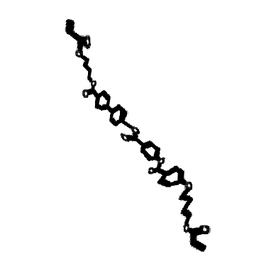 C=CC(=O)OCCCCOC(=O)c1ccc(-c2ccc(OC(=O)c3ccc(OC(=O)c4ccc(OCCCCOC(=O)C=C)cc4)cc3)cc2)cc1